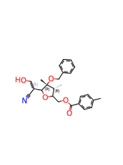 Cc1ccc(C(=O)OCC2OC(/C(C#N)=C/O)[C@](C)(OCc3ccccc3)[C@@H]2C)cc1